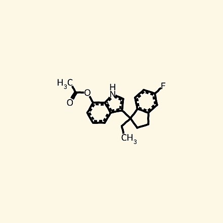 CCC1(c2c[nH]c3c(OC(C)=O)cccc23)CCc2cc(F)ccc21